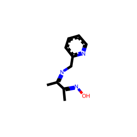 CC(=NO)C(C)=NCc1ccccn1